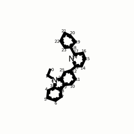 CCn1c2ccccc2c2ccc(-c3cccc(-c4ccccc4)n3)cc21